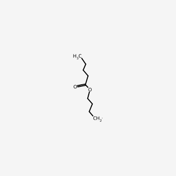 [CH2]CCCOC(=O)CCCC